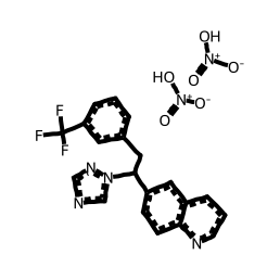 FC(F)(F)c1cccc(CC(c2ccc3ncccc3c2)n2cncn2)c1.O=[N+]([O-])O.O=[N+]([O-])O